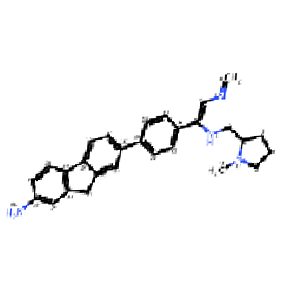 C=N/C=C(\NCC1CCCN1C)c1ccc(-c2ccc3c(c2)Cc2cc(N)ccc2-3)cc1